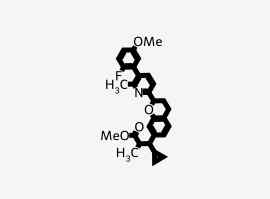 COC(=O)C(C)C(c1ccc2c(c1)OC(c1ccc(-c3cc(OC)ccc3F)c(C)n1)CC2)C1CC1